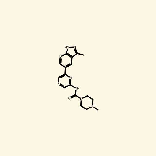 Cc1n[nH]c2ncc(-c3cncc(NC(=O)N4CCN(C)CC4)n3)cc12